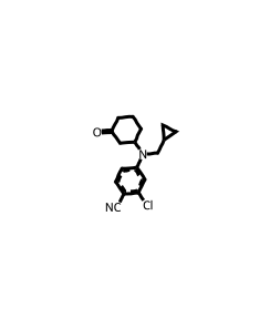 N#Cc1ccc(N(CC2CC2)C2CCCC(=O)C2)cc1Cl